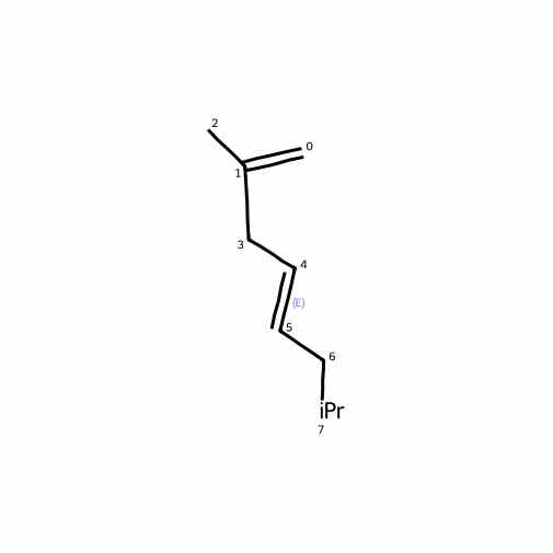 C=C(C)C/C=C/CC(C)C